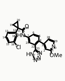 COc1cc(-c2ccc(NC(=O)C3(c4cccc(Cl)c4)CC3)cc2-c2nnn[nH]2)ccn1